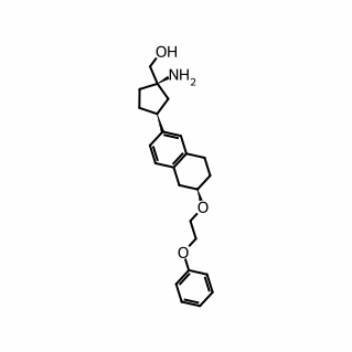 N[C@]1(CO)CC[C@H](c2ccc3c(c2)CC[C@@H](OCCOc2ccccc2)C3)C1